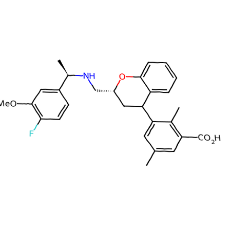 COc1cc([C@@H](C)NC[C@H]2CC(c3cc(C)cc(C(=O)O)c3C)c3ccccc3O2)ccc1F